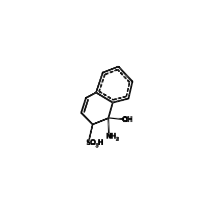 NC1(O)c2ccccc2C=CC1S(=O)(=O)O